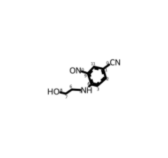 N#Cc1ccc(NCCO)c(N=O)c1